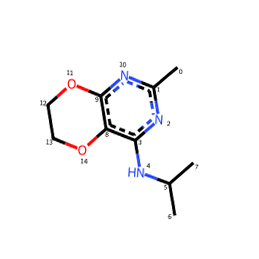 Cc1nc(NC(C)C)c2c(n1)OCCO2